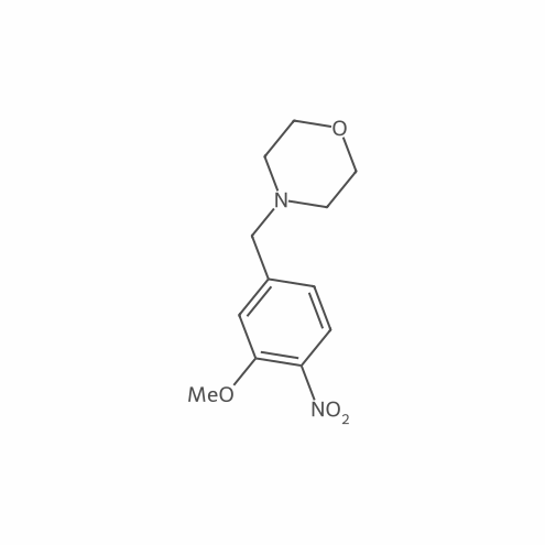 COc1cc(CN2CCOCC2)ccc1[N+](=O)[O-]